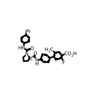 Cc1cc(C(=O)O)c(F)cc1-c1ccc(NC(=O)[C@H]2CCCN2C(=O)Nc2ccc(C(C)C)cc2)cc1